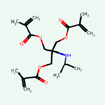 C=C(C)C(=O)OCC(COC(=O)C(=C)C)(COC(=O)C(=C)C)NC(C)C